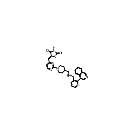 O=C1NC(=O)C(=Cc2ccnc(N3CCC(CNCc4cccnc4-c4cncc5ccccc45)CC3)n2)S1